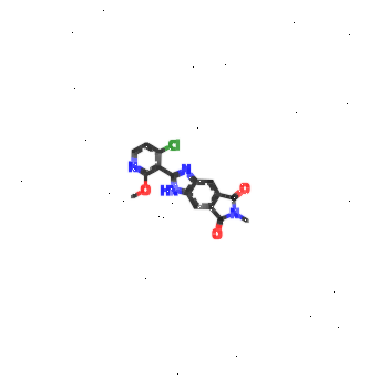 COc1nccc(Cl)c1-c1nc2cc3c(cc2[nH]1)C(=O)N(C)C3=O